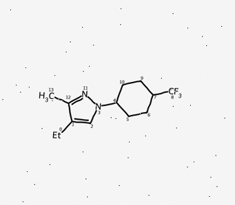 CCc1cn(C2CCC(C(F)(F)F)CC2)nc1C